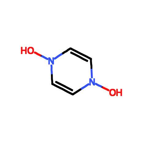 ON1C=CN(O)C=C1